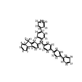 CC1(C)c2ccccc2-c2ccc(N(c3ccc(-c4ccncc4)cc3)c3ccc(-c4ccc(-c5ccccc5)cc4)cc3)cc21